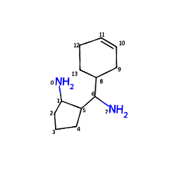 NC1CCCC1C(N)C1CC=CCC1